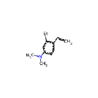 C=Cc1ccc(N(C)C)cc1CC